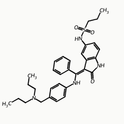 CCCN(CCC)Cc1ccc(N/C(=C2\C(=O)Nc3ccc(NS(=O)(=O)CCC)cc32)c2ccccc2)cc1